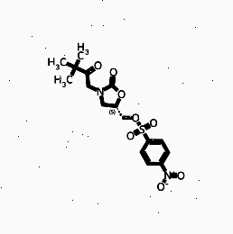 CC(C)(C)C(=O)CN1C[C@@H](COS(=O)(=O)c2ccc([N+](=O)[O-])cc2)OC1=O